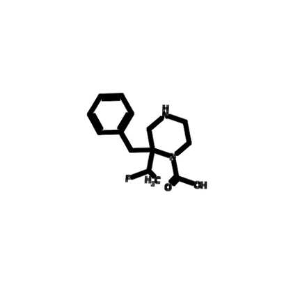 CC(F)C1(Cc2ccccc2)CNCCN1C(=O)O